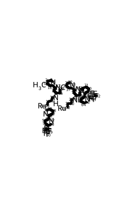 Cc1ccnc(-c2cc(NCCC[CH2][Ru+])ccn2)c1.Cc1ccnc(-c2cc(NCCC[CH2][Ru+])ccn2)c1.F[P-](F)(F)(F)(F)F.F[P-](F)(F)(F)(F)F.c1ccc(-c2ccccn2)nc1.c1ccc(-c2ccccn2)nc1